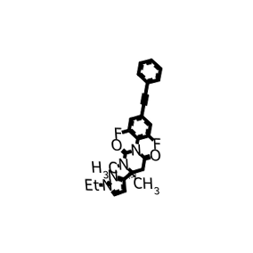 CCn1ccc([C@]2(C)CC(=O)N(c3c(F)cc(C#Cc4ccccc4)cc3F)C(=O)N2C)n1